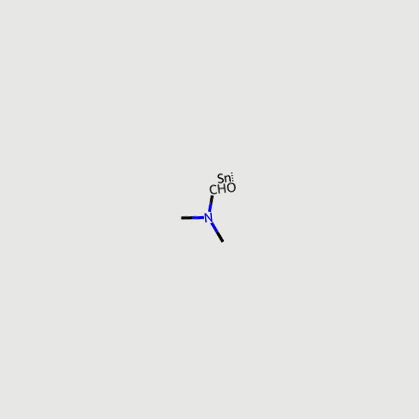 CN(C)C=O.[Sn]